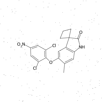 Cc1cc2c(cc1Oc1c(Cl)cc([N+](=O)[O-])cc1Cl)C1(CCC1)C(=O)N2